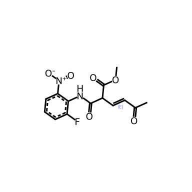 COC(=O)C(/C=C/C(C)=O)C(=O)Nc1c(F)cccc1[N+](=O)[O-]